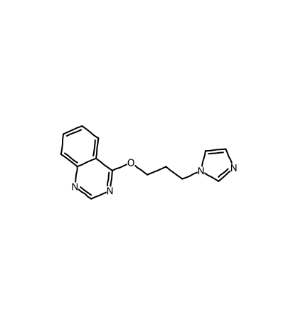 c1ccc2c(OCCCn3ccnc3)ncnc2c1